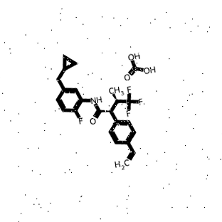 C=Cc1ccc([C@@H](C(=O)Nc2cc(CC3CC3)ccc2F)[C@@H](C)C(F)(F)F)cc1.O=C(O)O